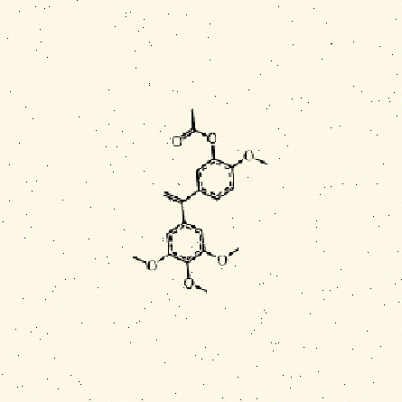 C=C(c1ccc(OC)c(OC(C)=O)c1)c1cc(OC)c(OC)c(OC)c1